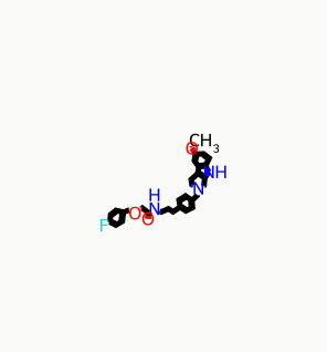 COc1ccc2[nH]c3c(c2c1)CCN(Cc1ccc(CCCNC(=O)COCc2ccc(F)cc2)cc1)C3